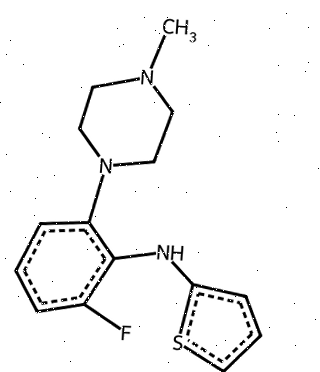 CN1CCN(c2cccc(F)c2Nc2cccs2)CC1